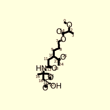 COC(C)C(=O)OCCCC(CC(=O)NC(C)(C)CS(=O)(=O)O)C(C)=O